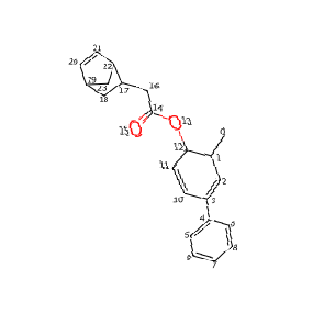 CC1C=C(c2ccccc2)C=CC1OC(=O)CC1CC2C=CC1C2